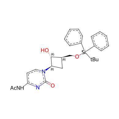 CC(=O)Nc1ccn([C@@H]2C[C@H](CO[Si](c3ccccc3)(c3ccccc3)C(C)(C)C)[C@H]2O)c(=O)n1